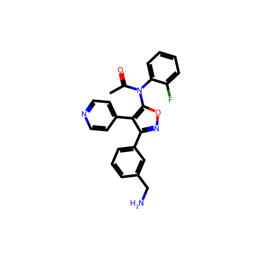 CC(=O)N(c1ccccc1F)c1onc(-c2cccc(CN)c2)c1-c1ccncc1